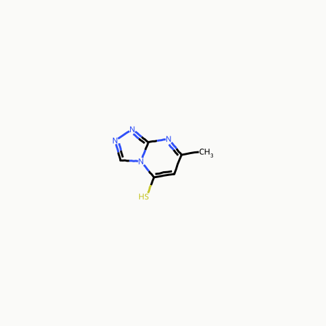 Cc1cc(S)n2cnnc2n1